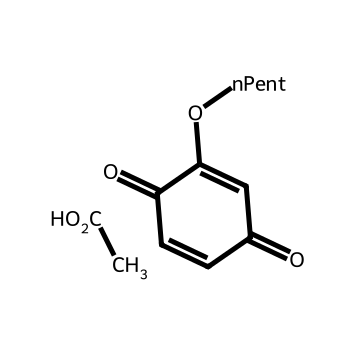 CC(=O)O.CCCCCOC1=CC(=O)C=CC1=O